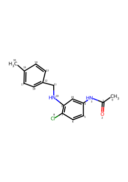 CC(=O)Nc1ccc(Cl)c(NCc2ccc(C)cc2)c1